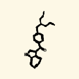 CCCC(CCC)Cc1ccc(C(=O)c2c[nH]c3ccccc23)cc1